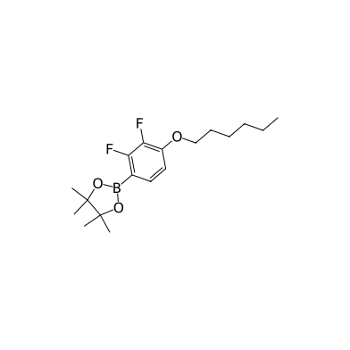 CCCCCCOc1ccc(B2OC(C)(C)C(C)(C)O2)c(F)c1F